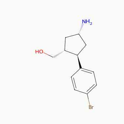 N[C@H]1C[C@@H](CO)[C@H](c2ccc(Br)cc2)C1